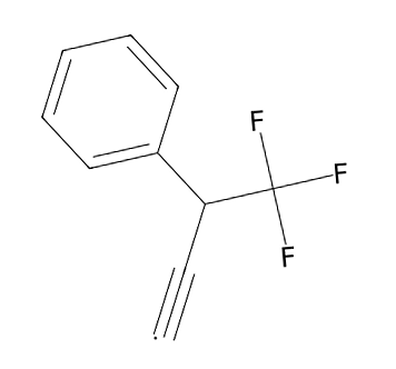 [C]#CC(c1ccccc1)C(F)(F)F